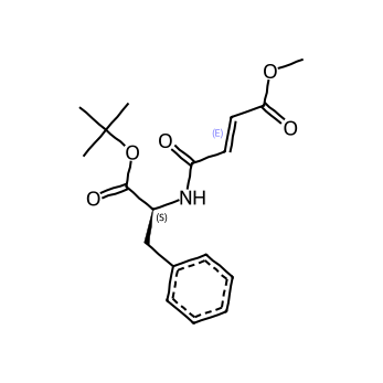 COC(=O)/C=C/C(=O)N[C@@H](Cc1ccccc1)C(=O)OC(C)(C)C